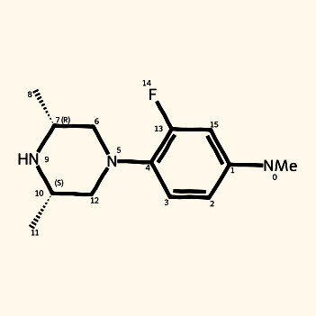 CNc1ccc(N2C[C@@H](C)N[C@@H](C)C2)c(F)c1